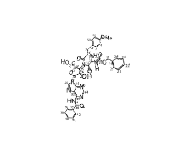 COc1ccc(C[C@H](N)C(=O)N(C(=O)CNC(=O)OCc2ccccc2)[C@H]2[C@@H](O)[C@H](n3cnc4c(NC(=O)c5ccccc5)ncnc43)O[C@@H]2C(=O)O)cc1